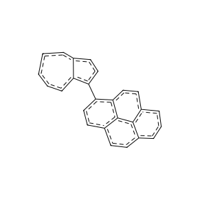 c1ccc2ccc(-c3ccc4ccc5cccc6ccc3c4c56)c-2cc1